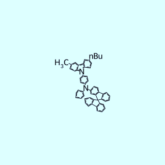 CCCCc1ccc2c(c1)c1cc(C)ccc1n2-c1ccc(N(c2ccccc2)c2ccc3c(c2)C2(c4ccccc4-c4ccccc42)c2ccccc2-3)cc1